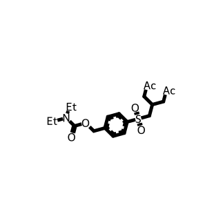 CCN(CC)C(=O)OCc1ccc(S(=O)(=O)CC(CC(C)=O)CC(C)=O)cc1